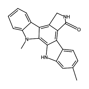 Cc1ccc2c(c1)[nH]c1c2c2c(c3c4ccccc4n(C)c13)CNC2=O